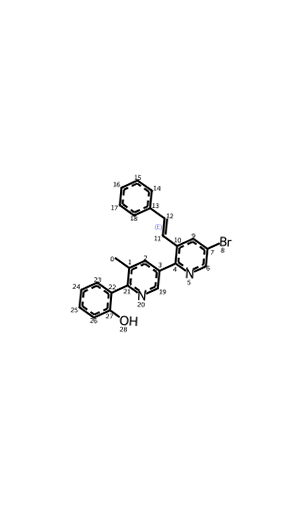 Cc1cc(-c2ncc(Br)cc2/C=C/c2ccccc2)cnc1-c1ccccc1O